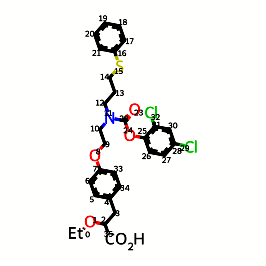 CCOC(Cc1ccc(OCCN(CCCSc2ccccc2)C(=O)Oc2ccc(Cl)cc2Cl)cc1)C(=O)O